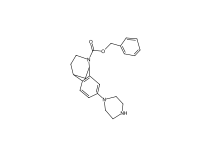 O=C(OCc1ccccc1)N1CCC2CC1c1cc(N3CCNCC3)ccc12